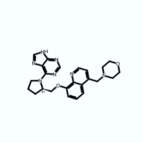 c1cc(OC[C@H]2CCCN2c2ncnc3[nH]cnc23)c2nccc(CN3CCOCC3)c2c1